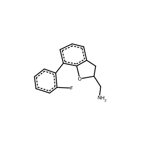 NCC1Cc2cccc(-c3ccccc3F)c2O1